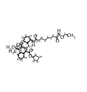 CCONC(=O)CCCCCCC(=O)Nc1ccccc1CN(C(=O)OC(C)(C)C)[C@H](C(=O)OC1CCCC1)c1ccccc1